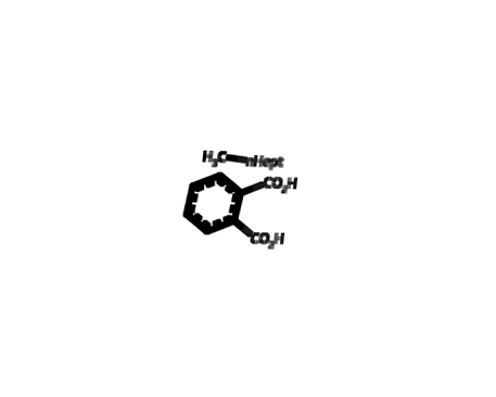 CCCCCCCC.O=C(O)c1ccccc1C(=O)O